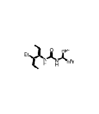 C/C=C(CC)\C(=C/C)NC(=O)NC(CCC)CCC